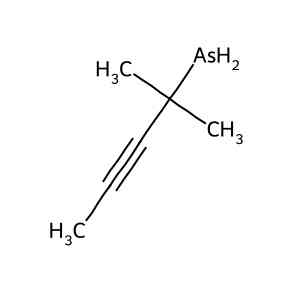 CC#CC(C)(C)[AsH2]